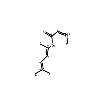 C=C(/C=N\C)S/C(C)=C/C=C(C)C